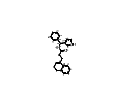 O=C(CCC1=CCCc2ccccc21)NC(c1ccccc1)c1cc[nH]c1